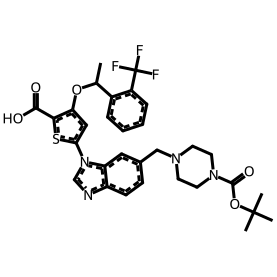 CC(Oc1cc(-n2cnc3ccc(CN4CCN(C(=O)OC(C)(C)C)CC4)cc32)sc1C(=O)O)c1ccccc1C(F)(F)F